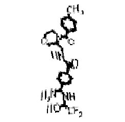 Cc1ccc(C(=O)N2CCOCC2CNC(=O)c2ccc(C(N)NC(O)C(F)(F)F)cc2)cc1